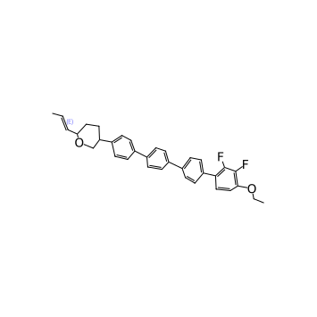 C/C=C/C1CCC(c2ccc(-c3ccc(-c4ccc(-c5ccc(OCC)c(F)c5F)cc4)cc3)cc2)CO1